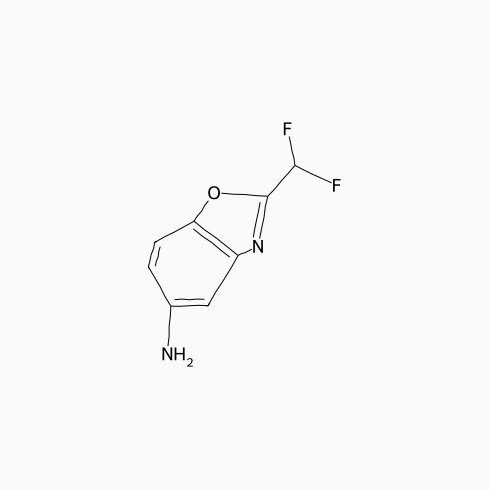 Nc1ccc2oc(C(F)F)nc2c1